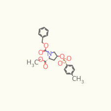 COC(=O)[C@H]1CC(OS(=O)(=O)c2ccc(C)cc2)CN1C(=O)OCc1ccccc1